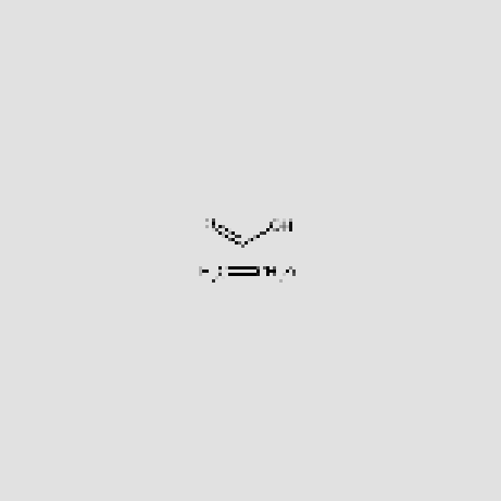 C=C.O=CO.[Zn]